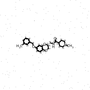 Cc1cccc(COc2ccc3c(c2)O[C@H](CNC(=O)C2CCN(C)CC2)CO3)c1